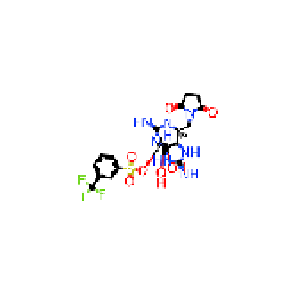 N=C1NC2[C@H](CN3C(=O)CCC3=O)NC(=N)N3C[C@H](OS(=O)(=O)c4cccc(C(F)(F)F)c4)C(O)(O)C23N1